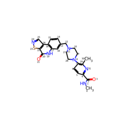 CNC(=O)c1ccc(N2CCN(Cc3ccc4c(c3)[nH]c(=O)c3sncc34)CC2)c(C)n1